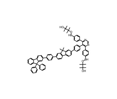 CC1(C)c2cc(-c3ccc(-c4ccc5c(c4)C(c4ccccc4)(c4ccccc4)c4ccccc4-5)cc3)ccc2-c2ccc(-c3ccc(-c4c(-c5ccc(BOC(C)(C)C(C)(C)O)cc5)ncnc4-c4ccc(BOC(C)(C)C(C)(C)O)cc4)cc3)cc21